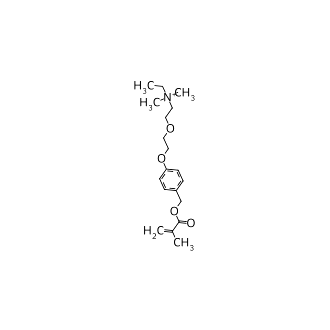 C=C(C)C(=O)OCc1ccc(OCCOCC[N+](C)(C)CC)cc1